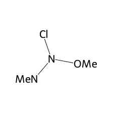 CNN(Cl)OC